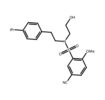 COc1ccc(C#N)cc1S(=O)(=O)N(CCO)CCc1ccc(C(C)C)cc1